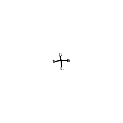 CC[C]([Ti])(CC)CC